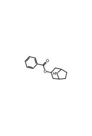 O=C(OC1CC2CCC(C1)N2)c1ccccc1